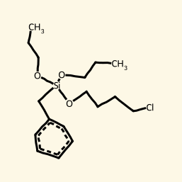 CCCO[Si](Cc1ccccc1)(OCCC)OCCCCCl